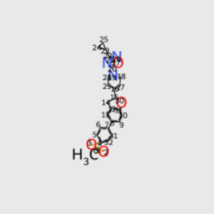 CS(=O)(=O)c1ccc(-c2ccc3c(c2)CC(C2CCN(c4nc(C5CC5)no4)CC2)O3)cc1